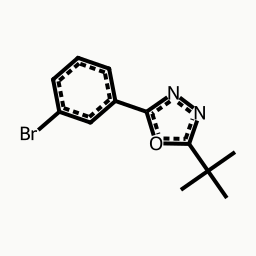 CC(C)(C)c1nnc(-c2cccc(Br)c2)o1